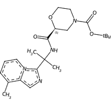 Cc1cccn2c(C(C)(C)NC(=O)[C@@H]3CN(C(=O)OC(C)(C)C)CCO3)ncc12